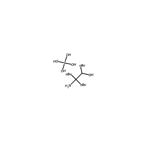 CCCCC(O)C(N)(CCCC)CCCC.O[Si](O)(O)O